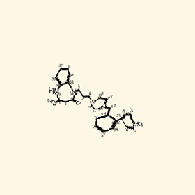 O=C1CC(=O)N(CCCN2CCN(Cc3ccccc3-c3ccc(Cl)cc3)CC2)c2ccccc2N1